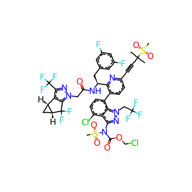 CC(C)(C#Cc1ccc(-c2ccc(Cl)c3c(N(C(=O)OCCl)S(C)(=O)=O)nn(CC(F)(F)F)c23)c([C@H](Cc2cc(F)cc(F)c2)NC(=O)Cn2nc(C(F)(F)F)c3c2C(F)(F)[C@@H]2C[C@H]32)n1)S(C)(=O)=O